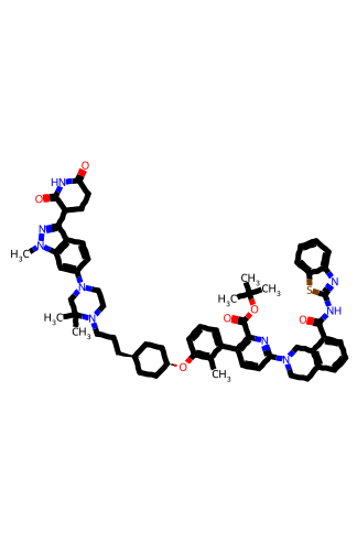 Cc1c(O[C@H]2CC[C@H](CCCN3CCN(c4ccc5c(C6CCC(=O)NC6=O)nn(C)c5c4)CC3(C)C)CC2)cccc1-c1ccc(N2CCc3cccc(C(=O)Nc4nc5ccccc5s4)c3C2)nc1C(=O)OC(C)(C)C